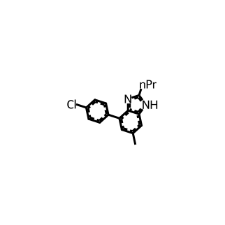 CCCc1nc2c(-c3ccc(Cl)cc3)cc(C)cc2[nH]1